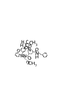 COCCCCC1(CNC(=O)C2CC(C(=O)NCCc3ccccc3)CN(C(=O)OC(C)(C)C)C2)c2ccccc2Oc2ccccc21